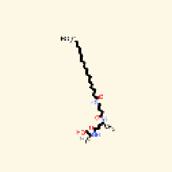 C[C@H](CO)NC(=O)CC[C@@H](C)NC(=O)CCCNC(=O)CCCCCCCCCCCCCCCCC(=O)O